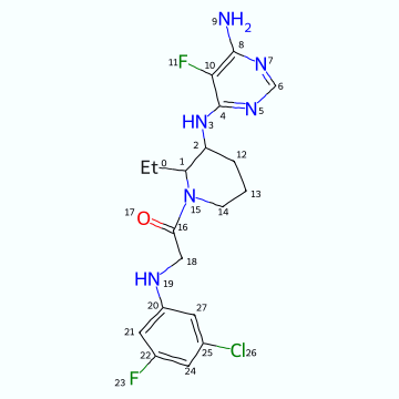 CCC1C(Nc2ncnc(N)c2F)CCCN1C(=O)CNc1cc(F)cc(Cl)c1